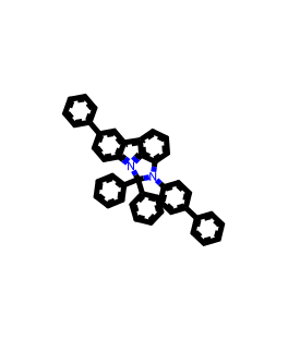 c1ccc(-c2ccc(N3c4cccc5c6cc(-c7ccccc7)ccc6n(c45)C3(c3ccccc3)c3ccccc3)cc2)cc1